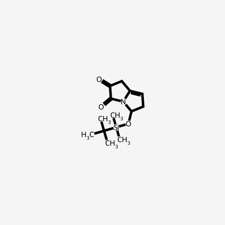 CC(C)(C)[Si](C)(C)OC1CC=C2CC(=O)C(=O)N21